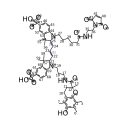 Cc1c(C)c2c(c(C)c1O)CCC(C)(C(=O)NCCC[N+]1=C(/C=C/C=C3/N(CCCCCC(=O)NCCN4C(=O)C=CC4=O)c4ccc(S(=O)(=O)O)cc4C3(C)C)C(C)(C)c3cc(S(=O)(=O)O)ccc31)O2